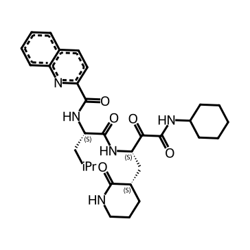 CC(C)C[C@H](NC(=O)c1ccc2ccccc2n1)C(=O)N[C@@H](C[C@@H]1CCCNC1=O)C(=O)C(=O)NC1CCCCC1